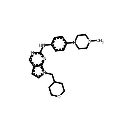 CN1CCN(c2ccc(Nc3ncc4ccn(CC5CCOCC5)c4n3)cc2)CC1